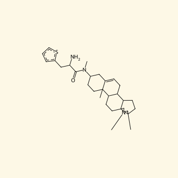 CC1C2CCC3C4CC=C5CC(N(C)C(=O)C(N)Cc6cccs6)CCC5(C)C4CCC32CN1C